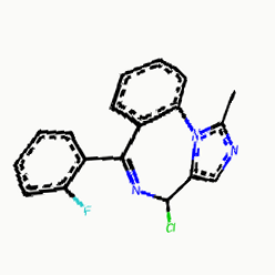 Cc1ncc2n1-c1ccccc1C(c1ccccc1F)=NC2Cl